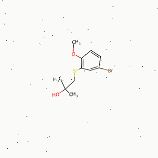 COc1ccc(Br)cc1SCC(C)(C)O